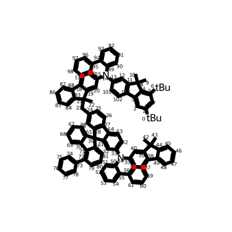 CC(C)(C)c1cc2c(c(C(C)(C)C)c1)C(C)(C)c1cc(N(c3ccc4c(c3)C(C)(Cc3ccc5c(c3)C3(c6cc(N(c7ccc8c(c7)C(C)(C)c7ccccc7-8)c7ccccc7-c7ccccc7)ccc6-5)c5ccccc5-c5c(-c6ccccc6)cccc53)c3ccccc3-4)c3ccccc3-c3ccccc3)ccc1-2